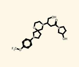 O=C(CC(CO)N1CCOC2(CCN(c3ccc(OC(F)(F)F)cc3)C2)C1)N1CCC(O)C1